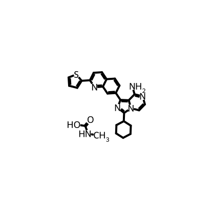 CNC(=O)O.Nc1nccn2c(C3CCCCC3)nc(-c3ccc4ccc(-c5cccs5)nc4c3)c12